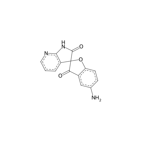 Nc1ccc2c(c1)C(=O)C1(O2)C(=O)Nc2ncccc21